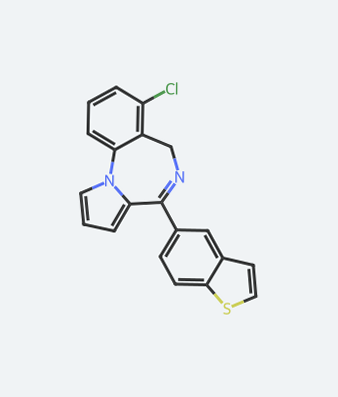 Clc1cccc2c1CN=C(c1ccc3sccc3c1)c1cccn1-2